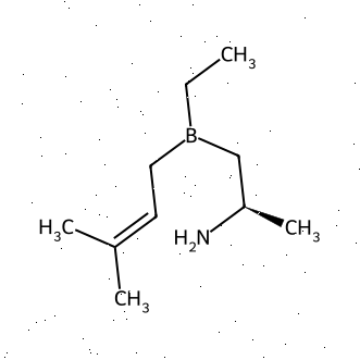 CCB(CC=C(C)C)C[C@@H](C)N